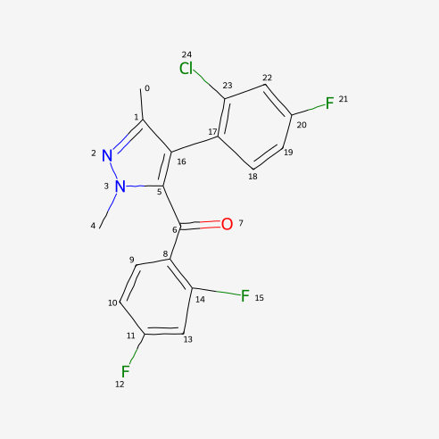 Cc1nn(C)c(C(=O)c2ccc(F)cc2F)c1-c1ccc(F)cc1Cl